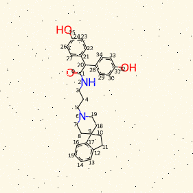 O=C(NCCCN1CCC2(CCc3ccccc32)CC1)C(c1ccc(O)cc1)c1ccc(O)cc1